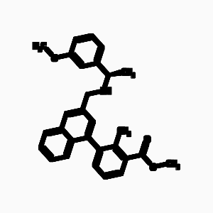 COC(=O)c1cccc(-c2cc(CN[C@H](C)c3cccc(OC)c3)cc3ccccc23)c1C